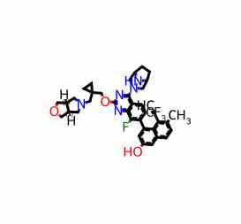 C#Cc1c(C)ccc2cc(O)cc(-c3c(C(F)(F)F)cc4c(N5CC6CCC(C5)N6)nc(OCC5(CN6C[C@H]7COC[C@@H]7C6)CC5)nc4c3F)c12